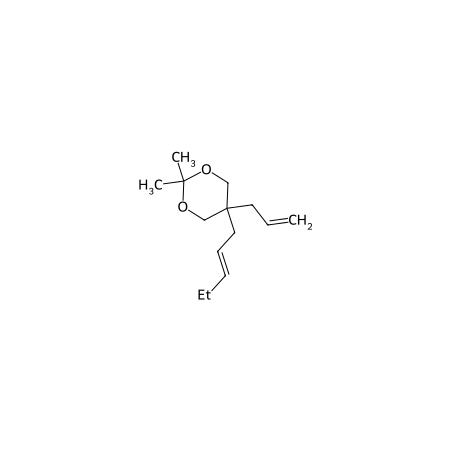 C=CCC1(CC=CCC)COC(C)(C)OC1